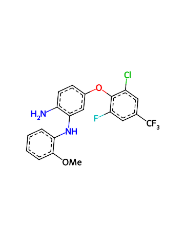 COc1ccccc1Nc1cc(Oc2c(F)cc(C(F)(F)F)cc2Cl)ccc1N